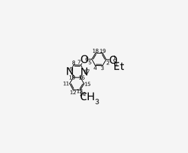 CCOc1ccc(Oc2cnc3ccc(C)cc3n2)cc1